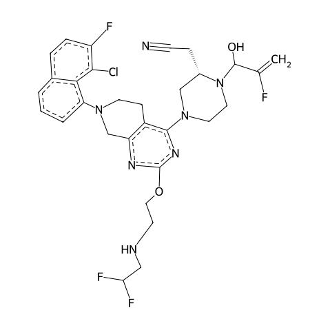 C=C(F)C(O)N1CCN(c2nc(OCCNCC(F)F)nc3c2CCN(c2cccc4ccc(F)c(Cl)c24)C3)C[C@@H]1CC#N